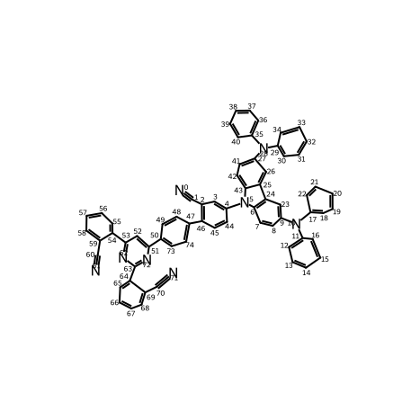 N#Cc1cc(-n2c3ccc(N(c4ccccc4)c4ccccc4)cc3c3cc(N(c4ccccc4)c4ccccc4)ccc32)ccc1-c1ccc(-c2cc(-c3ccccc3C#N)nc(-c3ccccc3C#N)n2)cc1